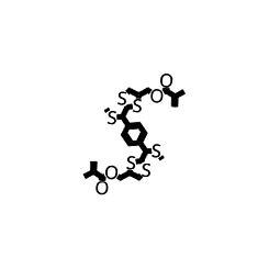 C=C(C)C(=O)OCC1CSC(C(SC)c2ccc(C(SC)C3SCC(COC(=O)C(=C)C)S3)cc2)S1